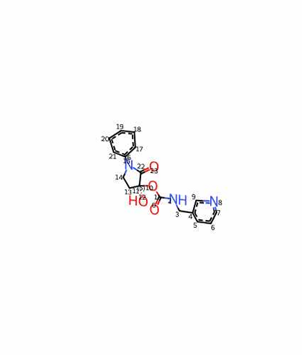 O=C(NCc1cccnc1)O[C@@]1(O)CCN(c2ccccc2)C1=O